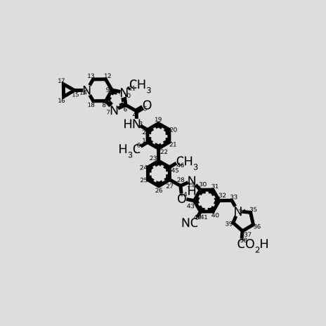 Cc1c(NC(=O)c2nc3c(n2C)CCN(C2CC2)C3)cccc1-c1cccc(C2Nc3cc(CN4CCC(C(=O)O)C4)cc(C#N)c3O2)c1C